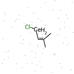 CC(C)=[CH][GeH2][Cl]